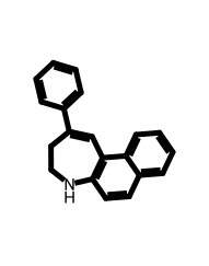 C1=C(c2ccccc2)CCNc2ccc3ccccc3c21